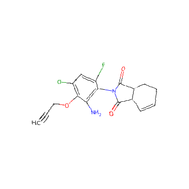 C#CCOc1c(Cl)cc(F)c(N2C(=O)C3C=CCCC3C2=O)c1N